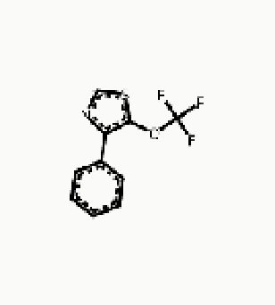 FC(F)(F)Oc1s[c]nc1-c1ccccc1